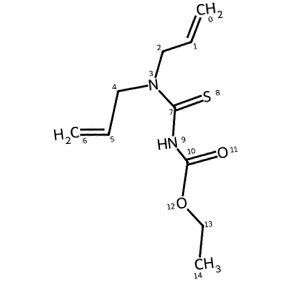 C=CCN(CC=C)C(=S)NC(=O)OCC